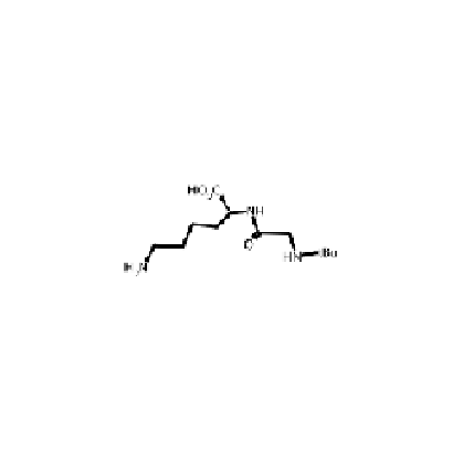 CC(C)(C)NCC(=O)N[C@@H](CCCCN)C(=O)O